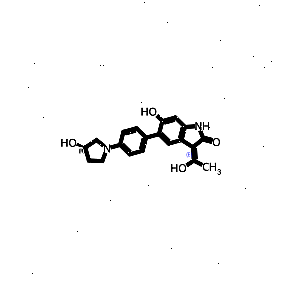 C/C(O)=C1\C(=O)Nc2cc(O)c(-c3ccc(N4CC[C@@H](O)C4)cc3)cc21